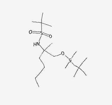 CCCCC(C)(CO[Si](C)(C)C(C)(C)C)NS(=O)(=O)C(C)(C)C